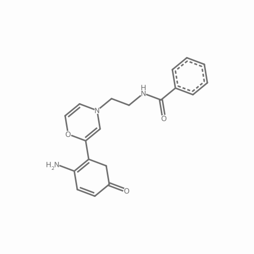 NC1=C(C2=CN(CCNC(=O)c3ccccc3)C=CO2)CC(=O)C=C1